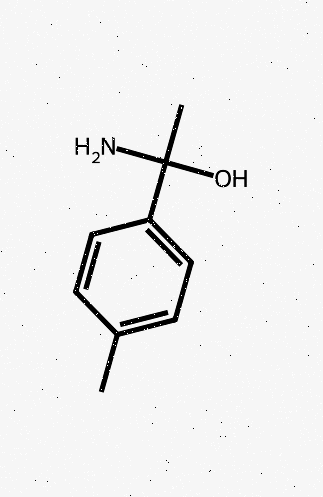 Cc1ccc(C(C)(N)O)cc1